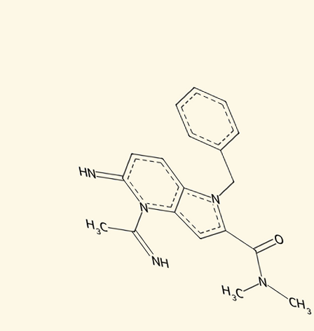 CC(=N)n1c(=N)ccc2c1cc(C(=O)N(C)C)n2Cc1ccccc1